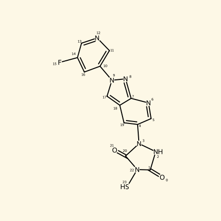 O=c1[nH]n(-c2cnc3nn(-c4cncc(F)c4)cc3c2)c(=O)n1S